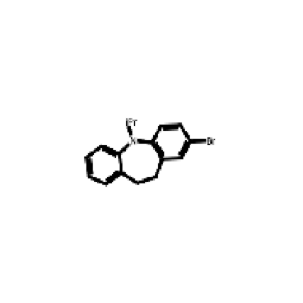 CC(C)N1c2ccccc2CCc2cc(Br)ccc21